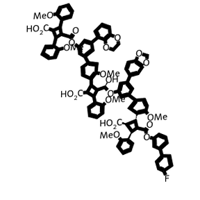 COc1ccccc1C1C(C(=O)O)C(c2ccccc2OC)C1C(=O)Oc1cc(-c2ccc(C3C(C(=O)O)C(c4ccccc4OC)C3[C@H](O)Oc3cc(-c4ccc5c(c4)OCO5)cc(-c4ccc(OC)c([C@@H]5C(C(=O)Oc6cccc(-c7ccc(F)cc7)c6)[C@@H](c6ccccc6OC)[C@H]5C(=O)O)c4)c3)c(OC)c2)cc(-c2cccc3c2OCCO3)c1